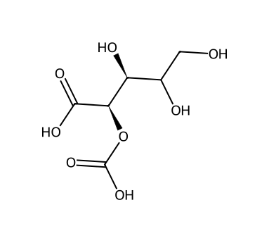 O=C(O)O[C@@H](C(=O)O)[C@@H](O)C(O)CO